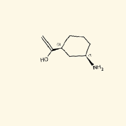 C=C(O)[C@H]1CCC[C@@H](N)C1